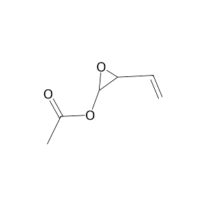 C=CC1OC1OC(C)=O